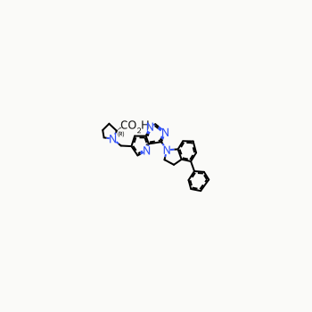 O=C(O)[C@H]1CCCN1Cc1cnc2c(N3CCc4c(-c5ccccc5)cccc43)ncnc2c1